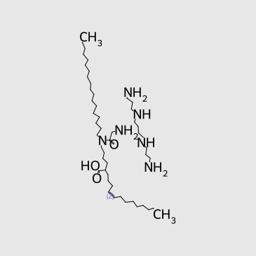 CCCCCCCC/C=C\CCCC(CCCCN(CCCCCCCCCCCCCCCCCC)C(=O)CN)C(=O)O.NCCCNCCCCNCCCN